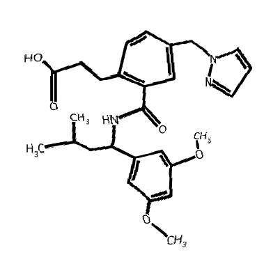 COc1cc(OC)cc(C(CC(C)C)NC(=O)c2cc(Cn3cccn3)ccc2CCC(=O)O)c1